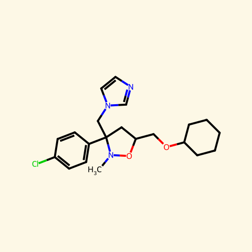 CN1OC(COC2CCCCC2)CC1(Cn1ccnc1)c1ccc(Cl)cc1